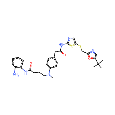 CN(CCCC(=O)Nc1ccccc1N)c1ccc(CC(=O)Nc2ncc(SCc3ncc(C(C)(C)C)o3)s2)cc1